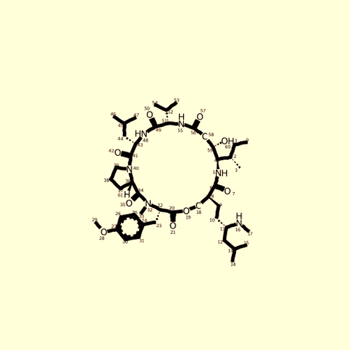 CC[C@H](C)[C@H]1NC(=O)[C@@H](CC[C@@H](CC(C)C)NC)COC(=O)[C@H](Cc2ccc(OC)cc2)N(C)C(=O)[C@@H]2CCCN2C(=O)[C@H](CC(C)C)NC(=O)[C@H](C(C)C)NC(=O)C[C@@H]1O